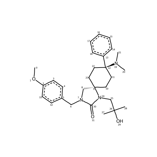 COc1ccc(CN2C[C@]3(CC[C@](c4ccccc4)(N(C)C)CC3)N(CC(C)(C)O)C2=O)cc1